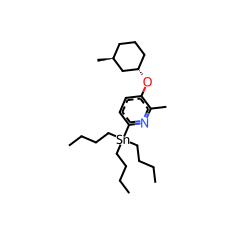 CCC[CH2][Sn]([CH2]CCC)([CH2]CCC)[c]1ccc(O[C@H]2CCC[C@H](C)C2)c(C)n1